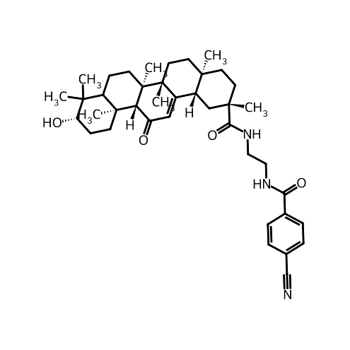 CC1(C)C2CC[C@]3(C)[C@H](C(=O)C=C4[C@H]5C[C@@](C)(C(=O)NCCNC(=O)c6ccc(C#N)cc6)CC[C@]5(C)CC[C@]43C)[C@@]2(C)CC[C@@H]1O